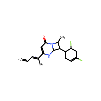 C=C/C=C(\CCC)C1=CC(=O)N2C(C)C(C3CC=C(F)CC3F)C2N1